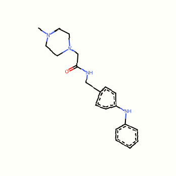 CN1CCN(CC(=O)NCc2ccc(Nc3ccccc3)cc2)CC1